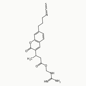 CC(CC(=O)OCNC(=N)N)c1cc2ccc(CCCN=C=S)cc2oc1=O